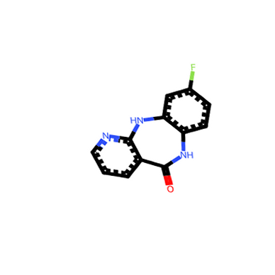 O=C1Nc2ccc(F)cc2Nc2ncccc21